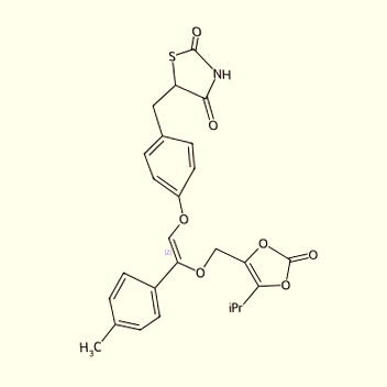 Cc1ccc(/C(=C/Oc2ccc(CC3SC(=O)NC3=O)cc2)OCc2oc(=O)oc2C(C)C)cc1